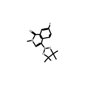 Cn1cc(B2OC(C)(C)C(C)(C)O2)c2ccc(F)cc2c1=O